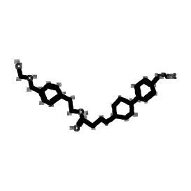 CCCCCc1ccc(C2CCC(CCCC(=O)OCCc3ccc(COCCl)cc3)CC2)cc1